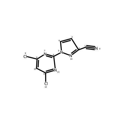 N#Cc1ccn(-c2nc(Cl)cc(Cl)n2)n1